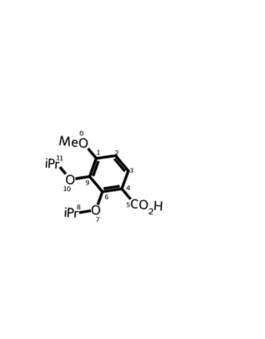 COc1ccc(C(=O)O)c(OC(C)C)c1OC(C)C